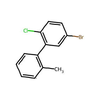 Cc1[c]cccc1-c1cc(Br)ccc1Cl